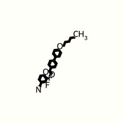 CCCCCCOc1ccc(-c2ccc(C(=O)Oc3ccc(C#N)c(F)c3F)cc2)cc1